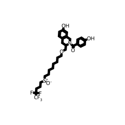 O=C(c1ccc(O)cc1)N1Cc2cc(O)ccc2CC1COCCCCCCCC[S+]([O-])CCCC(F)(F)C(F)(F)F